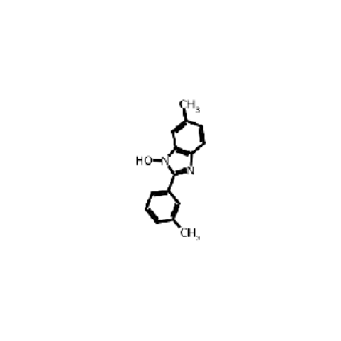 Cc1cccc(-c2nc3ccc(C)cc3n2O)c1